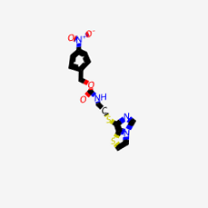 O=C(NCCSc1ncn2ccsc12)OCc1ccc([N+](=O)[O-])cc1